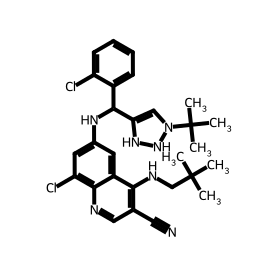 CC(C)(C)CNc1c(C#N)cnc2c(Cl)cc(NC(C3=CN(C(C)(C)C)NN3)c3ccccc3Cl)cc12